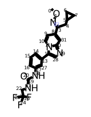 CO/N=C(\CC1CC1)c1ccn2c(-c3cccc(NC(=O)NCC(F)(F)F)c3)cnc2c1